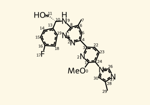 COc1nc(-c2cc(C)c(N[C@@H](CO)c3ccc(F)cc3)nn2)ccc1-n1cnc(C)c1